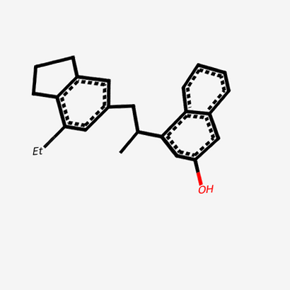 CCc1cc(CC(C)c2cc(O)cc3ccccc23)cc2c1CCC2